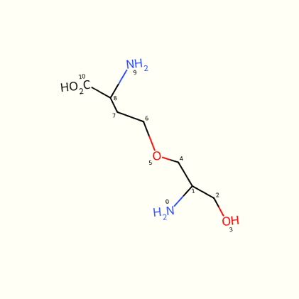 NC(CO)COCCC(N)C(=O)O